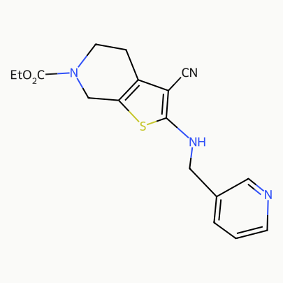 CCOC(=O)N1CCc2c(sc(NCc3cccnc3)c2C#N)C1